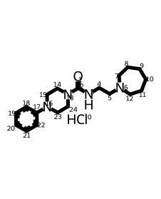 Cl.O=C(NCCN1CCCCCC1)N1CCN(c2ccccc2)CC1